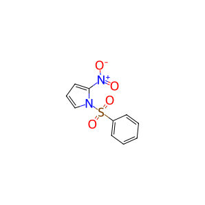 O=[N+]([O-])c1cccn1S(=O)(=O)c1ccccc1